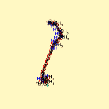 Cc1cc(F)cc(C)c1Oc1ccc(S(C)(=O)=O)cc1-c1cn(C)c(=O)c2[nH]c(C(=O)Nc3ccc(OCCOCCOCCOCCOCCOCCOCCOCCOCCNC(=O)CCNC(=O)c4nc(NC(=O)CCNC(=O)c5cc(NC(=O)c6nc(NC(=O)CCNC(=O)c7cc(NC(=O)c8nccn8C)cn7C)cn6C)cn5C)cn4C)cc3)cc12